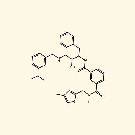 Cc1csc(CN(C)C(=O)c2cccc(C(=O)NC(Cc3ccccc3)C(O)CNCc3c[c]cc(C(C)C)c3)c2)n1